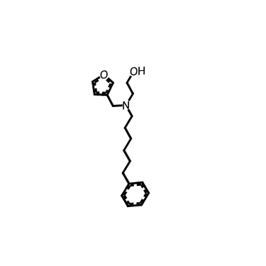 OCCN(CCCCCCc1ccccc1)Cc1ccoc1